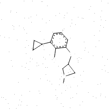 O=C(O)N1CC(Oc2cccc(C3CC3)c2Cl)C1